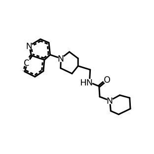 O=C(CN1CCCCC1)NCC1CCN(c2ccnc3ccccc23)CC1